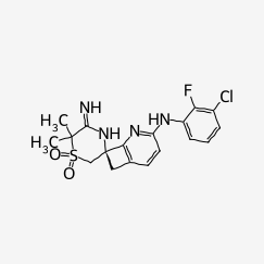 CC1(C)C(=N)N[C@@]2(Cc3ccc(Nc4cccc(Cl)c4F)nc32)CS1(=O)=O